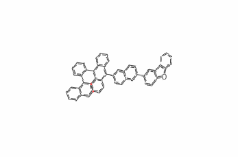 c1ccc(-c2c3ccccc3c(-c3ccc4cc(-c5ccc6oc7ccccc7c6c5)ccc4c3)c3ccccc23)c(-c2cccc3ccccc23)c1